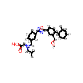 COCc1cc(-c2nc(-c3cccc(CN(CC(=O)O)CC(C)C)c3)no2)ccc1-c1ccccc1C